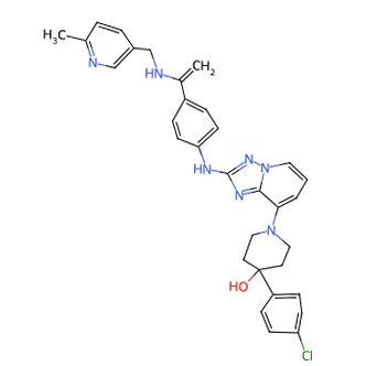 C=C(NCc1ccc(C)nc1)c1ccc(Nc2nc3c(N4CCC(O)(c5ccc(Cl)cc5)CC4)cccn3n2)cc1